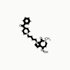 CN1CCC(=NO)c2ccn(CCCCN3CCC(C(=O)c4ccccc4)CC3)c2C1=O